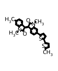 Cc1ccc2c(c1)N(C)C(=O)/C2=C1/C(=O)N(C)c2cc(-c3ccc(-c4ccc(C)s4)s3)ccc21